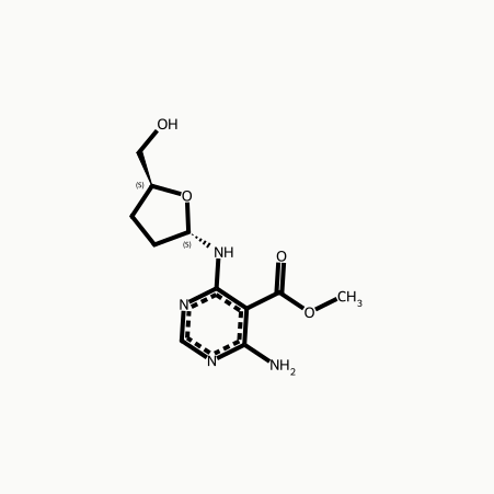 COC(=O)c1c(N)ncnc1N[C@@H]1CC[C@@H](CO)O1